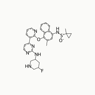 Cc1cc(N[S+]([O-])C2(C)CC2)c2ccccc2c1Oc1ncccc1-c1ccnc(NC2CNCC(F)C2)n1